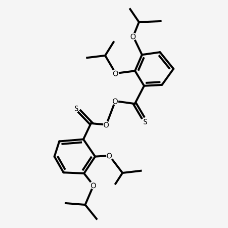 CC(C)Oc1cccc(C(=S)OOC(=S)c2cccc(OC(C)C)c2OC(C)C)c1OC(C)C